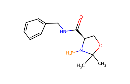 CC1(C)OC[C@H](C(=O)NCc2ccccc2)N1P